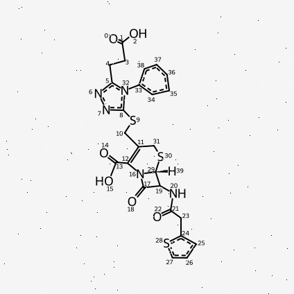 O=C(O)CCc1nnc(SCC2=C(C(=O)O)N3C(=O)C(NC(=O)Cc4cccs4)[C@H]3SC2)n1-c1ccccc1